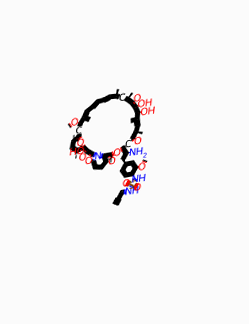 C#CCNS(=O)(=O)N[C@H]1CC[C@@H](C[C@@H](N)[C@@H]2CC(=O)[C@H](C)/C=C(\C)[C@@H](O)[C@@H](O)C(=O)[C@H](C)C[C@H](C)/C=C/C=C/C=C(\C)[C@@H](OC)C[C@@H]3CC[C@@H](C)[C@@](O)(O3)C(=O)C(=O)N3CCCC[C@H]3C(=O)O2)C[C@H]1OC